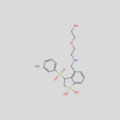 Cl.O=S(=O)(c1ccccc1)C1CS(O)(O)c2cccc(CNCCOCCO)c21